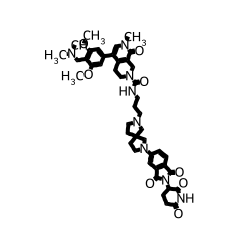 COc1cc(-c2cn(C)c(=O)c3c2CCN(C(=O)NCCCN2CCC4(CCN(c5ccc6c(c5)C(=O)N(C5CCC(=O)NC5=O)C6=O)C4)C2)C3)cc(OC)c1CN(C)C